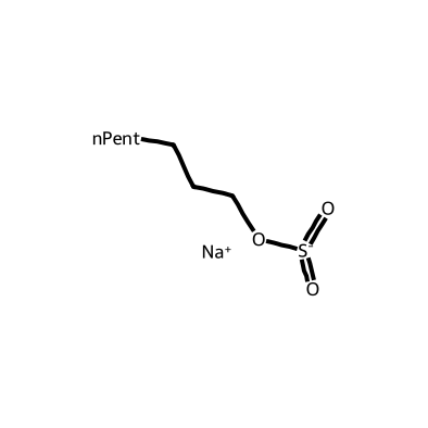 CCCCCCCCO[S-](=O)=O.[Na+]